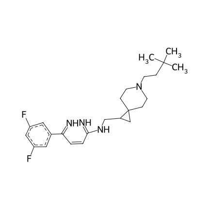 CC(C)(C)CCN1CCC2(CC1)CC2CNC(=N)/C=C\C(=N)c1cc(F)cc(F)c1